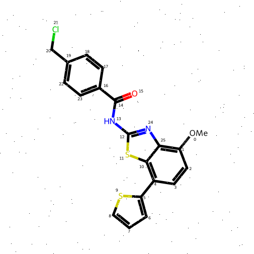 COc1ccc(-c2cccs2)c2sc(NC(=O)c3ccc(CCl)cc3)nc12